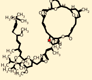 C=C1C[C@@H]2C[C@@H]3CCO[C@@H](O3)c3coc(n3)/C=C/C[C@H]3O[C@@H](/C(C)=C/c4coc(C[C@]5(C)C[C@H](OC)C[C@H]([C@@H](/C=C(C)/C=C/[C@@H](CC#C[Si](C)(C)C)OC)O[Si](C(C)C)(C(C)C)C(C)C)O5)n4)[C@H](C)[C@@H](OC(=O)/C=C\C[C@@H](C1)O2)[C@H]3C